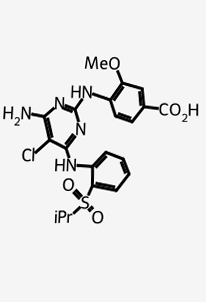 COc1cc(C(=O)O)ccc1Nc1nc(N)c(Cl)c(Nc2ccccc2S(=O)(=O)C(C)C)n1